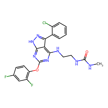 CNC(=O)NCCNc1nc(Oc2ccc(F)cc2F)nc2[nH]nc(-c3ccccc3Cl)c12